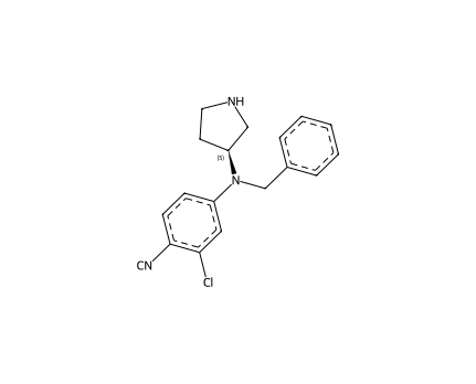 [C-]#[N+]c1ccc(N(Cc2ccccc2)[C@H]2CCNC2)cc1Cl